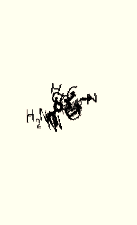 C=CC(=O)N1[C@H](CC#N)COC[C@H]1c1cc(Cl)cc(-c2cc(N)ncn2)c1